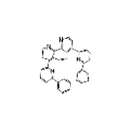 c1ccc(-c2cccc(-c3ccnc4c3ccc3c(-c5cccc(-c6ccccc6)n5)ccnc34)n2)cc1